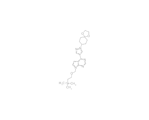 C[Si](C)(C)CCOCn1ccc2c(-c3cnn(C4CCC5(CC4)OCCO5)c3)ncnc21